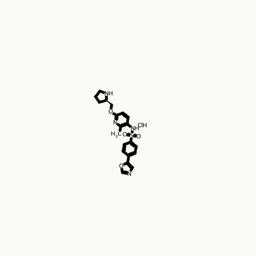 Cc1nc(OC[C@H]2CCCN2)ccc1NS(=O)(=O)c1ccc(-c2cnco2)cc1.Cl